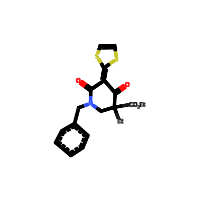 CCOC(=O)C1(CC)CN(Cc2ccccc2)C(=O)C(=C2SC=CS2)C1=O